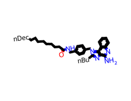 CCCCCCCCCCCCCCCCCCC(=O)NCc1ccc(Cn2c(CCCC)nc3c(N)nc4ccccc4c32)cc1